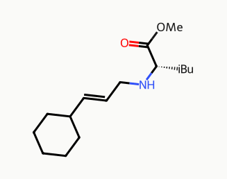 CCC(C)[C@H](NC/C=C/C1CCCCC1)C(=O)OC